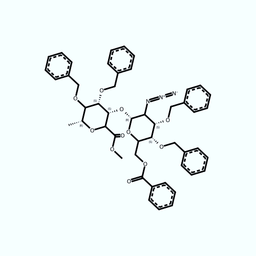 COC(=O)C1O[C@H](C)C(OCc2ccccc2)[C@H](OCc2ccccc2)[C@@H]1O[C@H]1OC(COC(=O)c2ccccc2)[C@@H](OCc2ccccc2)[C@@H](OCc2ccccc2)C1N=[N+]=[N-]